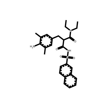 CCN(CC)C(=O)C(Cc1cc(C)c(N)c(C)c1)C(=O)NS(=O)(=O)c1ccc2ccccc2c1